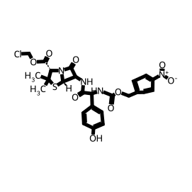 CC1(C)S[C@@H]2C(NC(=O)C(NC(=O)OCc3ccc([N+](=O)[O-])cc3)c3ccc(O)cc3)C(=O)N2[C@H]1C(=O)OCCl